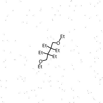 CCOCC(CC)(CC)C(CC)(CC)COCC